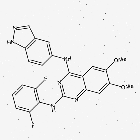 COc1cc2nc(Nc3c(F)cccc3F)nc(Nc3ccc4[nH]ncc4c3)c2cc1OC